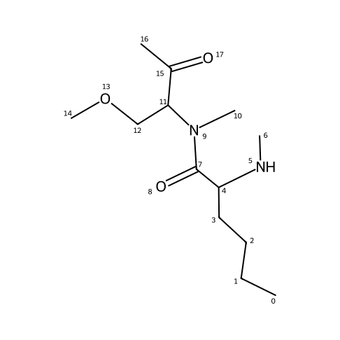 CCCCC(NC)C(=O)N(C)C(COC)C(C)=O